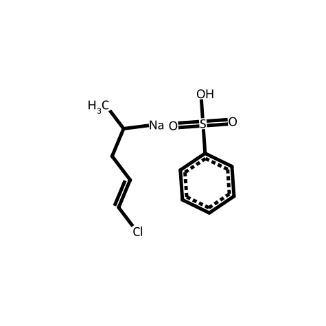 C[CH]([Na])CC=CCl.O=S(=O)(O)c1ccccc1